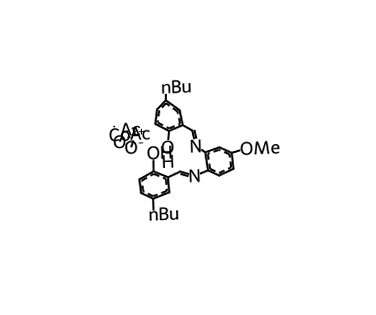 CC(=O)[O-].CC(=O)[O-].CCCCc1ccc(O)c(C=Nc2ccc(OC)cc2N=Cc2cc(CCCC)ccc2O)c1.[Co+2]